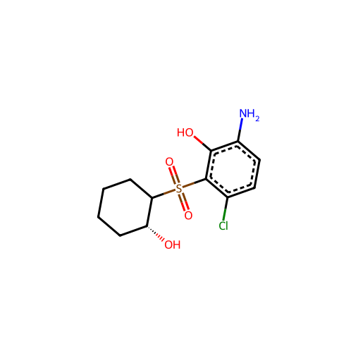 Nc1ccc(Cl)c(S(=O)(=O)C2CCCC[C@H]2O)c1O